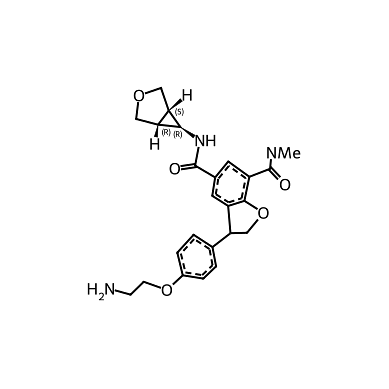 CNC(=O)c1cc(C(=O)N[C@H]2[C@@H]3COC[C@@H]32)cc2c1OCC2c1ccc(OCCN)cc1